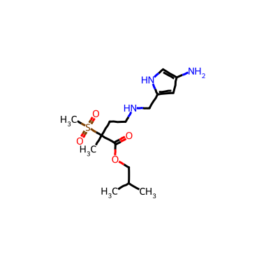 CC(C)COC(=O)C(C)(CCNCc1cc(N)c[nH]1)S(C)(=O)=O